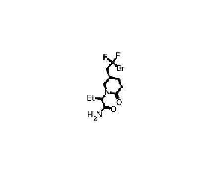 CCC(C(N)=O)N1CC(CC(F)(F)Br)CCC1=O